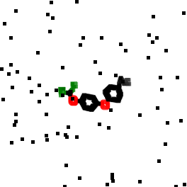 CC(=O)c1ccc(Oc2ccc(OC(F)F)cc2)cc1